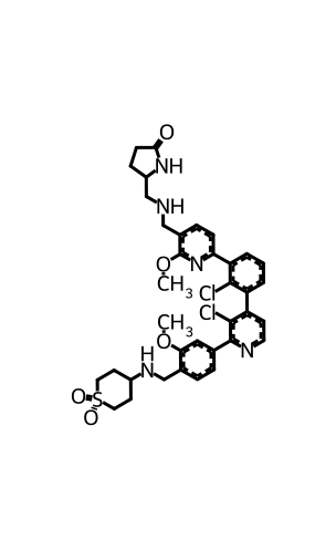 COc1cc(-c2nccc(-c3cccc(-c4ccc(CNCC5CCC(=O)N5)c(OC)n4)c3Cl)c2Cl)ccc1CNC1CCS(=O)(=O)CC1